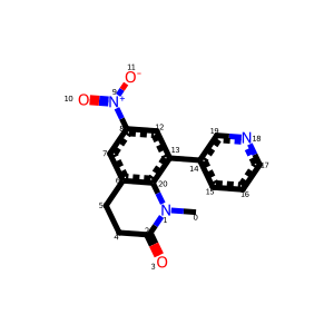 CN1C(=O)CCc2cc([N+](=O)[O-])cc(-c3cccnc3)c21